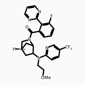 COCCN(c1ccc(C(F)(F)F)cn1)C1C[C@H]2CC1N(C(=O)c1cccc(F)c1-c1ncccn1)C2